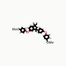 COc1ccc(Oc2ccc(C3(C)CC(C)(C)c4ccc(Oc5ccc(OC)cc5)cc43)cc2)cc1